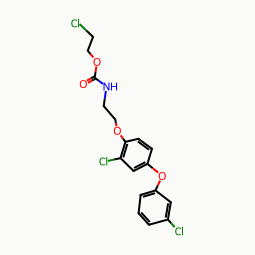 O=C(NCCOc1ccc(Oc2cccc(Cl)c2)cc1Cl)OCCCl